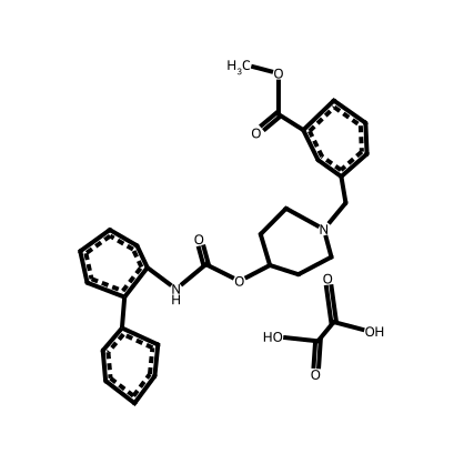 COC(=O)c1cccc(CN2CCC(OC(=O)Nc3ccccc3-c3ccccc3)CC2)c1.O=C(O)C(=O)O